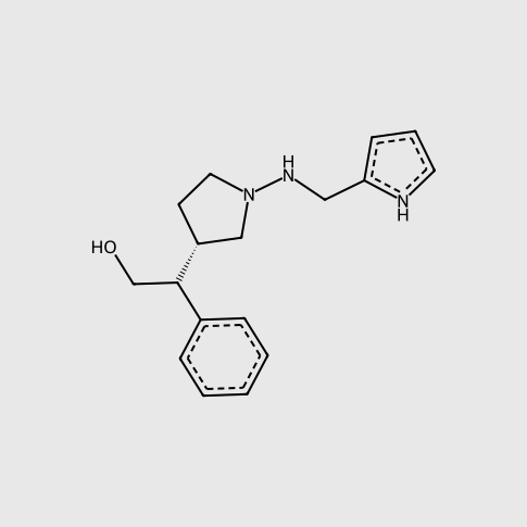 OCC(c1ccccc1)[C@@H]1CCN(NCc2ccc[nH]2)C1